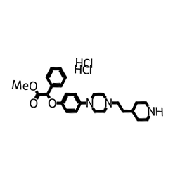 COC(=O)C(Oc1ccc(N2CCN(CCC3CCNCC3)CC2)cc1)c1ccccc1.Cl.Cl